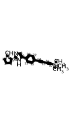 CN1CCC[C@H]1c1ncc(-c2ccc(C#CC#C[Si](C)(C)C)cc2)[nH]1